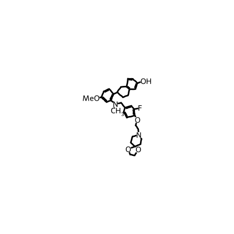 COc1ccc(C2CCc3cc(O)ccc3C2)c(N(C)Cc2ccc(OCCN3CCC4(CC3)OCCO4)c(F)c2)c1